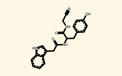 N#CCNC(=O)C(Cc1ccc(O)cc1)NC(=O)Cc1c[nH]c2ccccc12